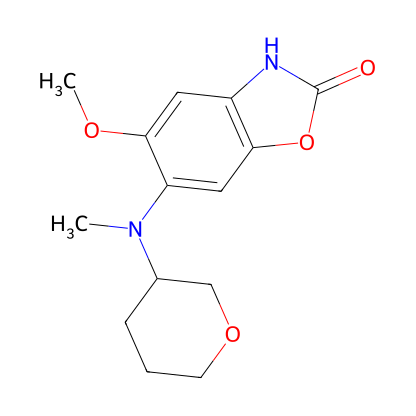 COc1cc2[nH]c(=O)oc2cc1N(C)C1CCCOC1